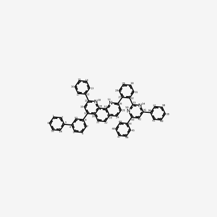 c1ccc(-c2cccc(-c3cc(-c4ccccc4)nc4c3ccc3ccc(-c5ccccc5-c5nc(-c6ccccc6)cc(-c6ccccc6)n5)nc34)c2)cc1